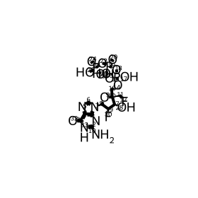 Nc1nc2c(ncn2[C@H]2O[C@](CF)(COP(=O)(O)OP(=O)(O)OP(=O)(O)O)[C@@H](O)[C@H]2F)c(=O)[nH]1